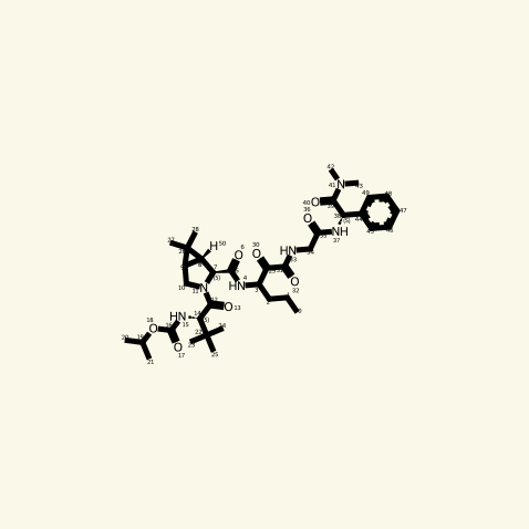 CCCC(NC(=O)[C@@H]1[C@@H]2C(CN1C(=O)[C@@H](NC(=O)OC(C)C)C(C)(C)C)C2(C)C)C(=O)C(=O)NCC(=O)N[C@H](C(=O)N(C)C)c1ccccc1